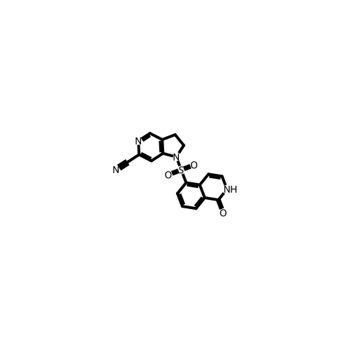 N#Cc1cc2c(cn1)CCN2S(=O)(=O)c1cccc2c(=O)[nH]ccc12